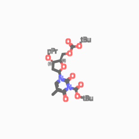 CCCO[C@H]1CC(n2cc(C)c(=O)n(C(=O)OC(C)(C)C)c2=O)O[C@@H]1COC(=O)OC(C)(C)C